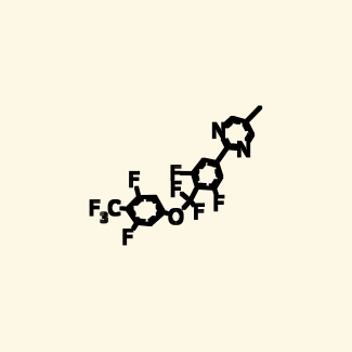 Cc1cnc(-c2cc(F)c(C(F)(F)Oc3cc(F)c(C(F)(F)F)c(F)c3)c(F)c2)nc1